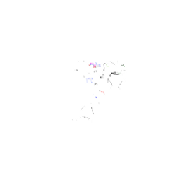 CC(=O)c1ccc(CNC(=O)[C@@H]2NC3(CCCCC3)[C@@]3(C(=O)Nc4cc(Cl)ccc43)[C@H]2c2cccc(Cl)c2F)cc1